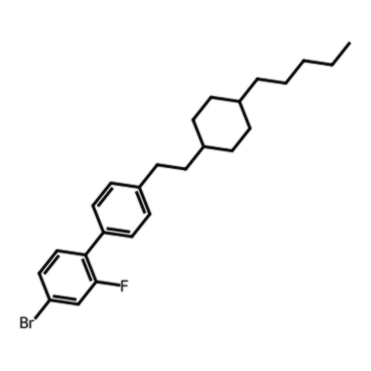 CCCCCC1CCC(CCc2ccc(-c3ccc(Br)cc3F)cc2)CC1